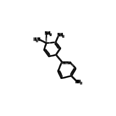 NC1=CC(c2ccc(N)cc2)C=CC1(N)N